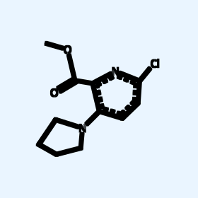 COC(=O)c1nc(Cl)ccc1N1CCCC1